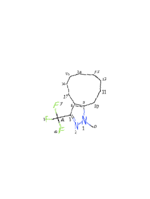 Cn1nc(C(F)(F)F)c2c1CCCCCCCC2